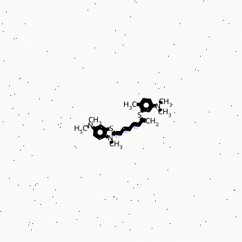 C=C(/C=C/C=C/C=C1\Sc2cc(N(C)C)ccc2N1C)Sc1cc(N(C)C)ccc1C